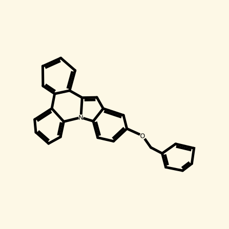 c1ccc(COc2ccc3c(c2)cc2c4ccccc4c4ccccc4n32)cc1